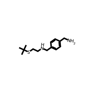 CC(C)(C)SCCNCc1ccc(CN)cc1